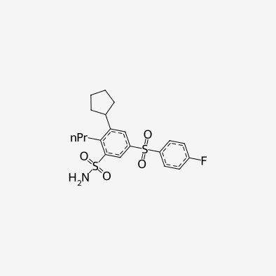 CCCc1c(C2CCCC2)cc(S(=O)(=O)c2ccc(F)cc2)cc1S(N)(=O)=O